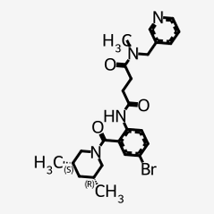 C[C@@H]1C[C@H](C)CN(C(=O)c2cc(Br)ccc2NC(=O)CCC(=O)N(C)Cc2cccnc2)C1